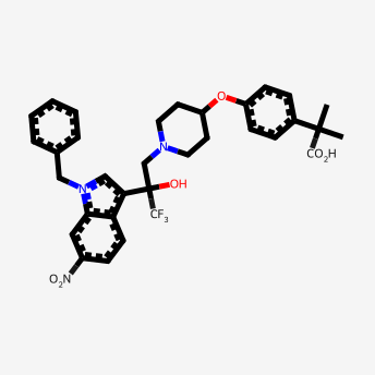 CC(C)(C(=O)O)c1ccc(OC2CCN(CC(O)(c3cn(Cc4ccccc4)c4cc([N+](=O)[O-])ccc34)C(F)(F)F)CC2)cc1